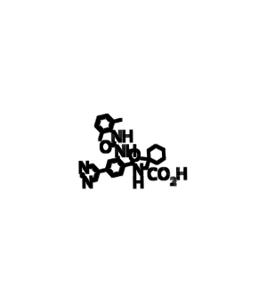 Cc1cccc(C)c1NC(=O)Nc1cc(-c2cncnc2)ccc1C(=O)N[C@H](C(=O)O)C1(C)CCCCC1